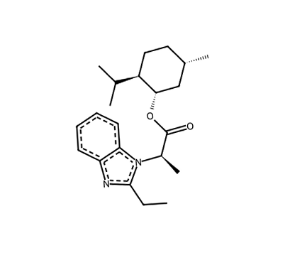 CCc1nc2ccccc2n1[C@H](C)C(=O)O[C@H]1C[C@@H](C)CC[C@@H]1C(C)C